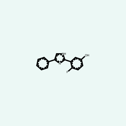 Oc1ccc(F)c(-c2nc(-c3ccccc3)c[nH]2)c1